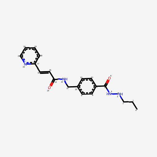 CCCNNC(=O)c1ccc(CNC(=O)/C=C/c2ccccn2)cc1